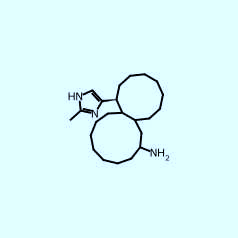 Cc1nc([C@H]2CCCCCCCC3CC(N)CCCCCCCC32)c[nH]1